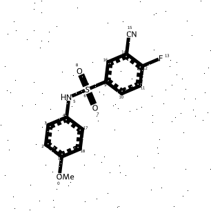 COc1ccc(NS(=O)(=O)c2ccc(F)c(C#N)c2)cc1